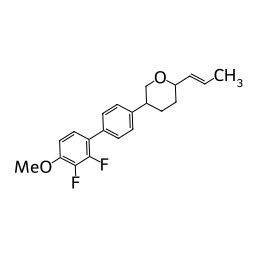 C/C=C/C1CCC(c2ccc(-c3ccc(OC)c(F)c3F)cc2)CO1